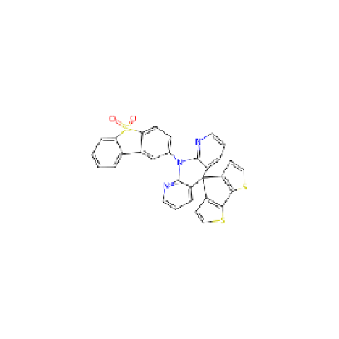 O=S1(=O)c2ccccc2-c2cc(N3c4ncccc4C4(c5cccnc53)c3ccsc3-c3sccc34)ccc21